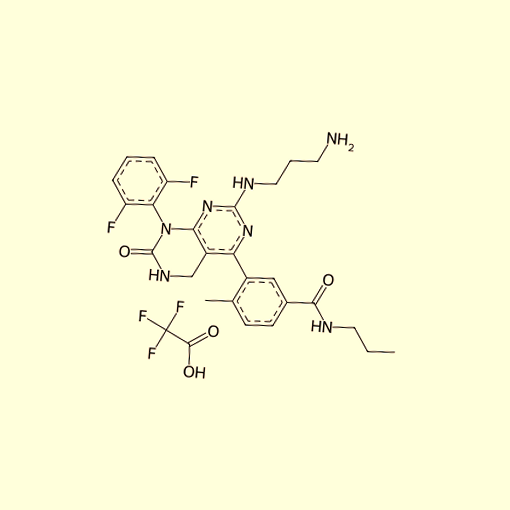 CCCNC(=O)c1ccc(C)c(-c2nc(NCCCN)nc3c2CNC(=O)N3c2c(F)cccc2F)c1.O=C(O)C(F)(F)F